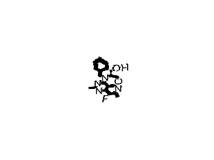 Cc1nc2c3c(nc(C)c(F)c3n1)OC[C@H](CO)N2Cc1ccccc1